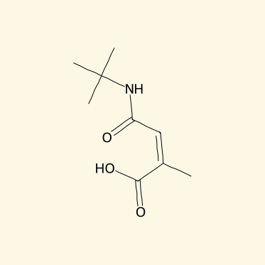 CC(=CC(=O)NC(C)(C)C)C(=O)O